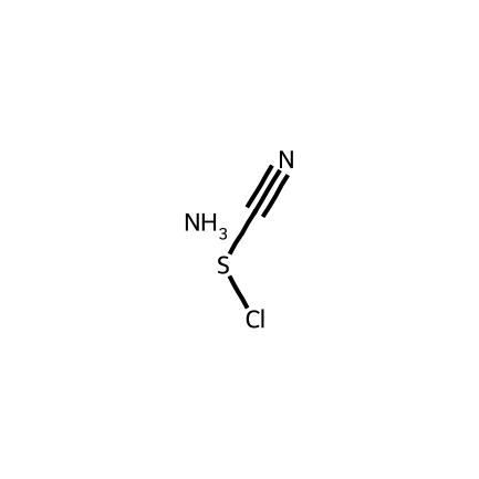 N.N#CSCl